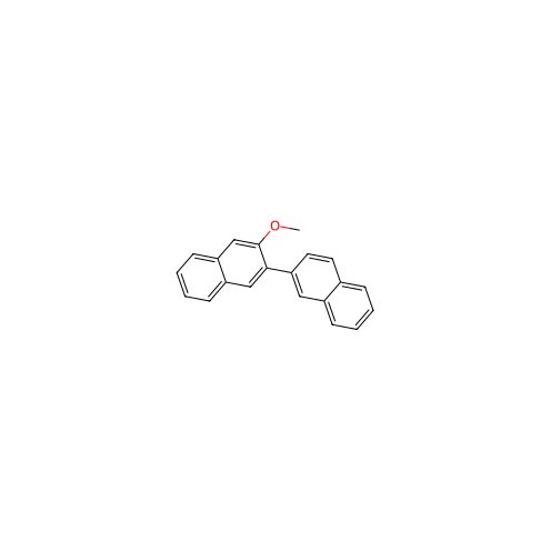 COc1cc2ccccc2cc1-c1ccc2ccccc2c1